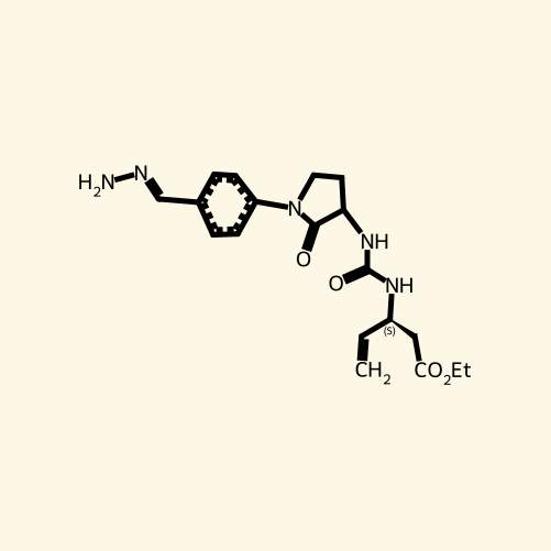 C=C[C@H](CC(=O)OCC)NC(=O)NC1CCN(c2ccc(C=NN)cc2)C1=O